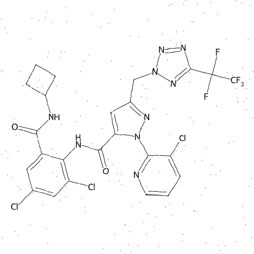 O=C(NC1CCC1)c1cc(Cl)cc(Cl)c1NC(=O)c1cc(Cn2nnc(C(F)(F)C(F)(F)F)n2)nn1-c1ncccc1Cl